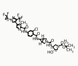 Cn1c(-c2cn([C@H]3CC3(F)F)nc2C(F)(F)F)cnc1C(=O)Nc1ccc(C(=O)NC2[C@H]3CN(C(=O)N[C@H]4CN(C(=O)OC(C)(C)C)C[C@@H]4O)C[C@@H]23)c(Cl)c1